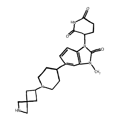 Cn1c(=O)n(C2CCC(=O)NC2=O)c2ccc(C3CCN(C4CC5(CNC5)C4)CC3)cc21